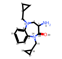 NC1CN(CC2CC2)c2ccccc2N(CC2CC2)C1=O